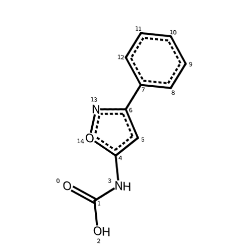 O=C(O)Nc1cc(-c2ccccc2)no1